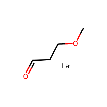 COCCC=O.[La]